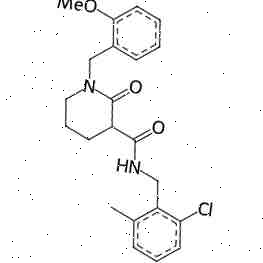 COc1ccccc1CN1CCCC(C(=O)NCc2c(C)cccc2Cl)C1=O